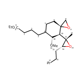 CCOC(=O)CCCC1CC[C@]2(CO2)[C@@H]([C@]2(C)O[C@@H]2CCC(C)C)[C@@H]1OC